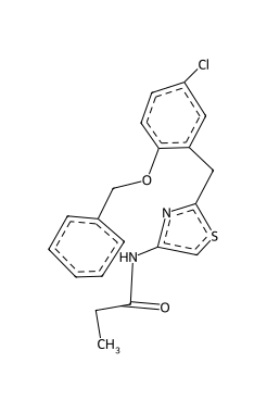 CCC(=O)Nc1csc(Cc2cc(Cl)ccc2OCc2ccccc2)n1